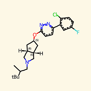 CC(CN1C[C@H]2C[C@H](Oc3ccc(-c4cc(F)ccc4Cl)nn3)C[C@H]2C1)C(C)(C)C